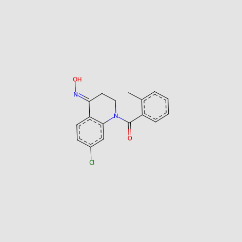 Cc1ccccc1C(=O)N1CCC(=NO)c2ccc(Cl)cc21